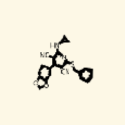 N#Cc1c(NC2CC2)nc(SCc2ccccc2)c(C#N)c1-c1ccc2c(c1)OCO2